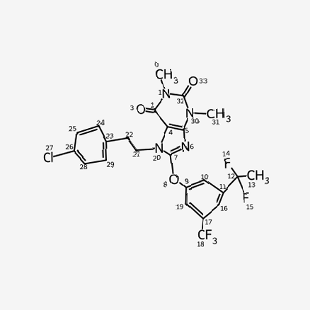 Cn1c(=O)c2c(nc(Oc3cc(C(C)(F)F)cc(C(F)(F)F)c3)n2CCc2ccc(Cl)cc2)n(C)c1=O